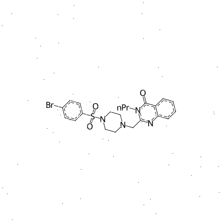 CCCn1c(CN2CCN(S(=O)(=O)c3ccc(Br)cc3)CC2)nc2ccccc2c1=O